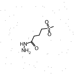 CS(=O)(=O)CCCC(=O)NN